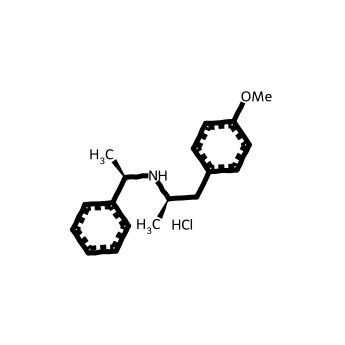 COc1ccc(C[C@@H](C)N[C@H](C)c2ccccc2)cc1.Cl